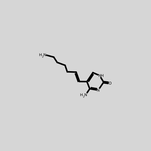 NCCCCC=Cc1c[nH]c(=O)nc1N